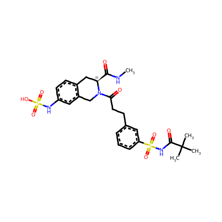 CNC(=O)[C@@H]1Cc2ccc(NS(=O)(=O)O)cc2CN1C(=O)CCc1cccc(S(=O)(=O)NC(=O)C(C)(C)C)c1